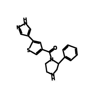 O=C(c1csc(-c2cn[nH]c2)c1)N1CCNCC1c1ccccc1